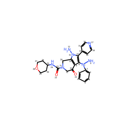 NN(c1ccccc1)c1c2c(n(N)c1-c1ccncc1)CN(C(=O)NC1CCOCC1)CC2=O